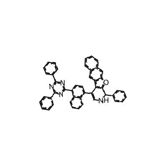 C1=C(c2ccc(-c3nc(-c4ccccc4)nc(-c4ccccc4)n3)c3ccccc23)c2c(oc3cc4ccccc4cc23)C(c2ccccc2)N1